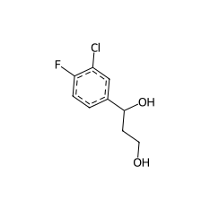 OCCC(O)c1ccc(F)c(Cl)c1